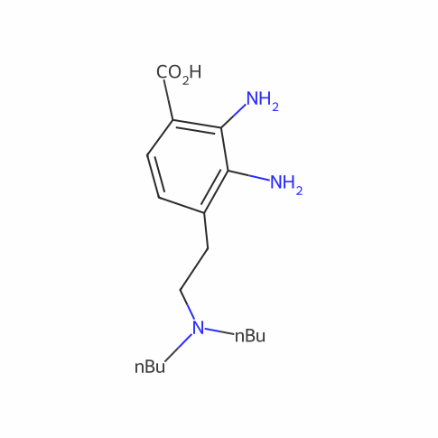 CCCCN(CCCC)CCc1ccc(C(=O)O)c(N)c1N